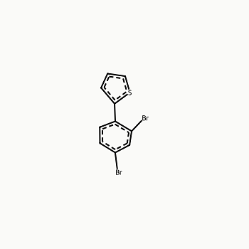 Brc1ccc(-c2cccs2)c(Br)c1